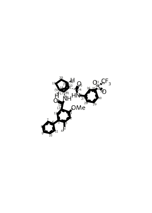 COc1cc(F)c(-c2ccccc2)cc1C(=O)N[C@@H]1[C@H]2CC[C@H](C2)[C@@H]1C(=O)Nc1cccc(S(=O)(=O)C(F)(F)F)c1